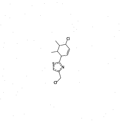 CC1C(Cl)C=CC(c2nc(CCl)cs2)C1C